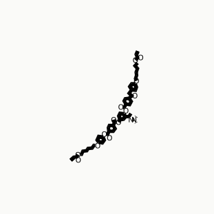 C=CC(=O)OCCCCCCOc1ccc(CC(=O)C2CCC(C(=O)Oc3ccc(OC(=O)C4CCC(C(=O)Oc5ccc(OCCCCCCOC(=O)C=C)cc5)CC4)cc3/C(C)=N/N(C)C)CC2)cc1